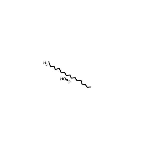 CCCCCCCCCCCCCCCCN.O=CO